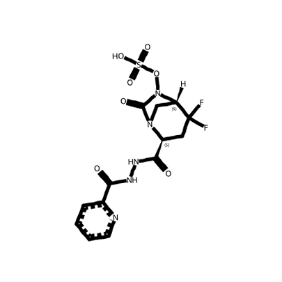 O=C(NNC(=O)[C@@H]1CC(F)(F)[C@@H]2CN1C(=O)N2OS(=O)(=O)O)c1ccccn1